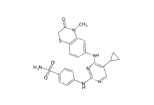 CN1C(=O)CSc2ccc(Nc3nc(Nc4ccc(S(N)(=O)=O)cc4)ncc3C3CC3)cc21